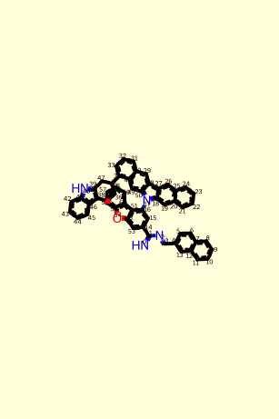 N=C(/N=C/c1ccc2ccccc2c1)c1cc(-n2c3cc4ccccc4cc3c3cc4cccc(C5C=Cc6c([nH]c7ccccc67)C5)c4cc32)c2c(c1)oc1ccccc12